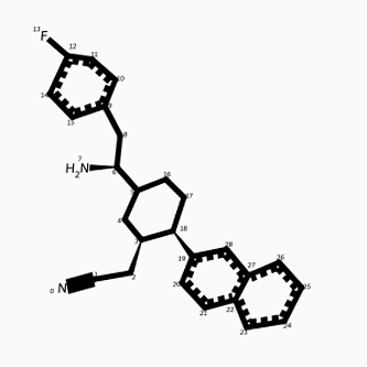 N#CC[C@H]1CC([C@@H](N)Cc2ccc(F)cc2)CC[C@H]1c1ccc2ccccc2c1